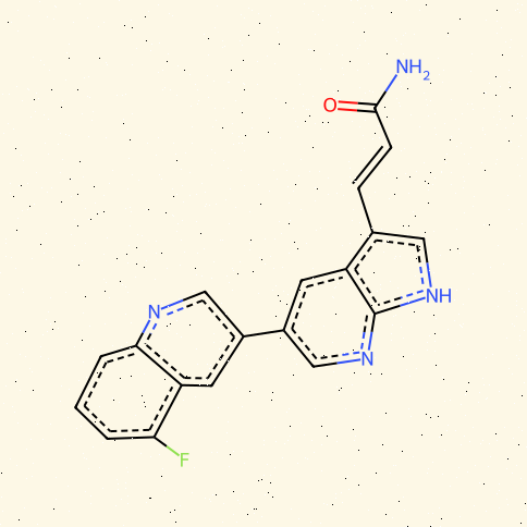 NC(=O)/C=C/c1c[nH]c2ncc(-c3cnc4cccc(F)c4c3)cc12